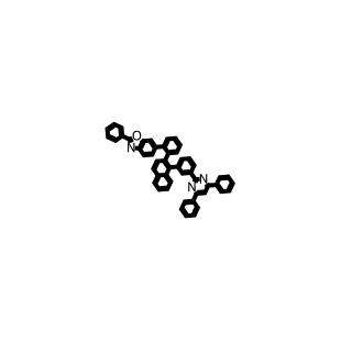 c1ccc(-c2cc(-c3ccccc3)nc(-c3cccc(-c4c(-c5ccccc5-c5ccc6nc(-c7ccccc7)oc6c5)ccc5ccccc45)c3)n2)cc1